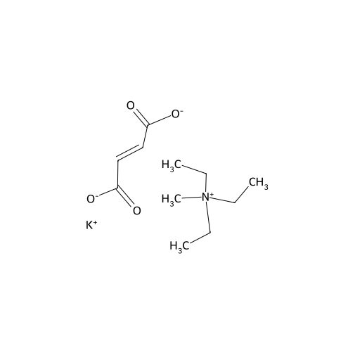 CC[N+](C)(CC)CC.O=C([O-])/C=C/C(=O)[O-].[K+]